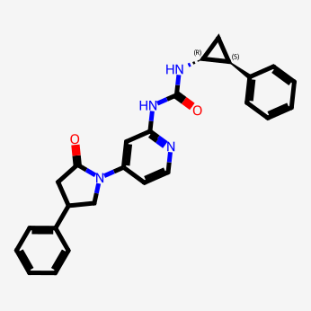 O=C(Nc1cc(N2CC(c3ccccc3)CC2=O)ccn1)N[C@@H]1C[C@H]1c1ccccc1